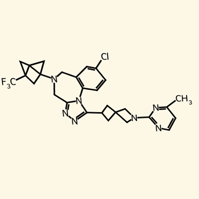 Cc1ccnc(N2CC3(CC(c4nnc5n4-c4ccc(Cl)cc4CN(C46CC7(C(F)(F)F)CC47C6)C5)C3)C2)n1